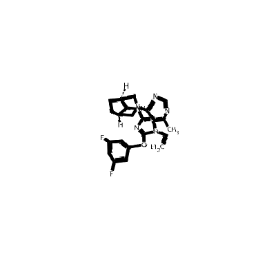 C=Cn1nc(NC2[C@H]3CC[C@H]2CN(c2cc(C)ncn2)C3)nc1Oc1cc(F)cc(F)c1